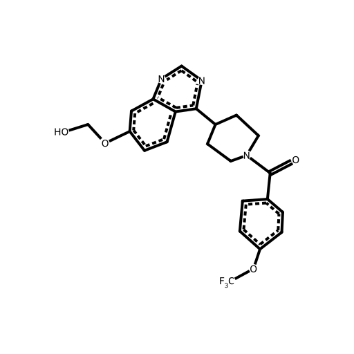 O=C(c1ccc(OC(F)(F)F)cc1)N1CCC(c2ncnc3cc(OCO)ccc23)CC1